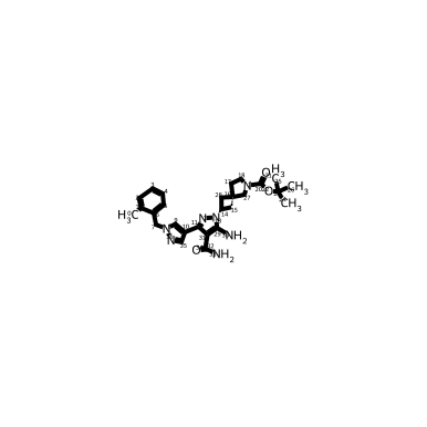 Cc1ccccc1Cn1cc(-c2nn([C@H]3C[C@@]4(CCN(C(=O)OC(C)(C)C)C4)C3)c(N)c2C(N)=O)cn1